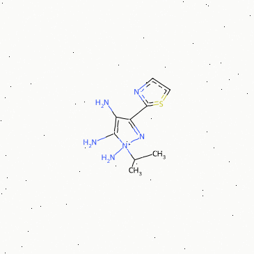 CC(C)[N+]1(N)N=C(c2nccs2)C(N)=C1N